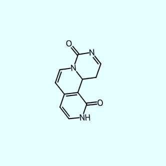 O=C1N=CCC2c3c(cc[nH]c3=O)C=CN12